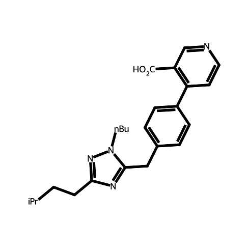 CCCCn1nc(CCC(C)C)nc1Cc1ccc(-c2ccncc2C(=O)O)cc1